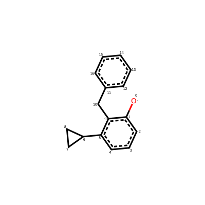 [O]c1cccc(C2CC2)c1Cc1ccccc1